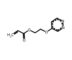 C=CC(=O)OCCOc1ccnnc1